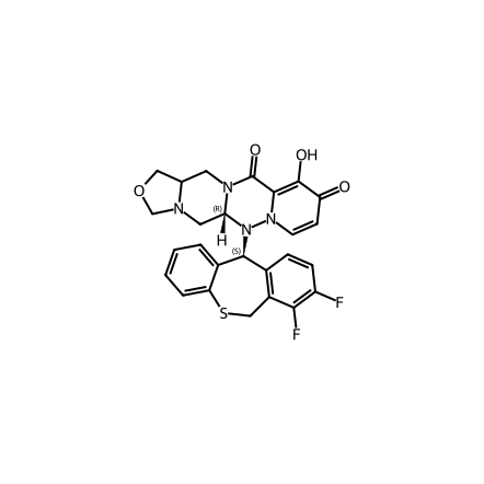 O=C1c2c(O)c(=O)ccn2N([C@@H]2c3ccccc3SCc3c2ccc(F)c3F)[C@@H]2CN3COCC3CN12